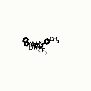 Cc1ccc(-c2cc(C(F)(F)F)n3nc(C(=O)NC4CCc5ccccc54)cc3n2)cc1